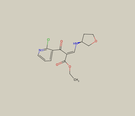 CCOC(=O)/C(=C/N[C@H]1CCOC1)C(=O)c1cccnc1Cl